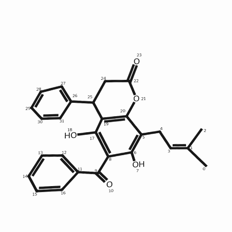 CC(C)=CCc1c(O)c(C(=O)c2ccccc2)c(O)c2c1OC(=O)CC2c1ccccc1